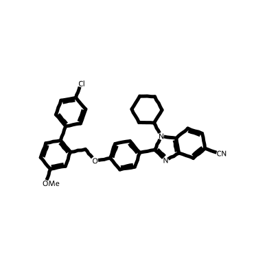 COc1ccc(-c2ccc(Cl)cc2)c(COc2ccc(-c3nc4cc(C#N)ccc4n3C3CCCCC3)cc2)c1